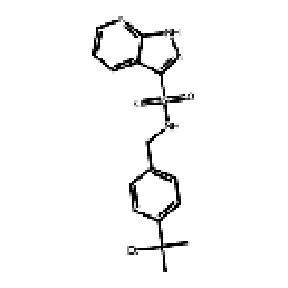 CCC(C)(C)c1ccc(CNS(=O)(=O)c2n[nH]c3ncccc23)cc1